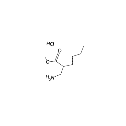 CCCCC(CN)C(=O)OC.Cl